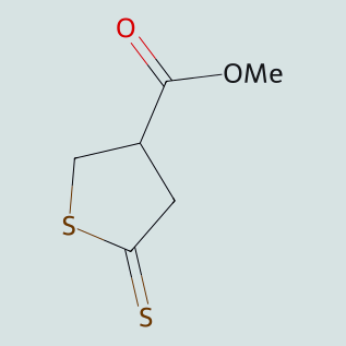 COC(=O)C1CSC(=S)C1